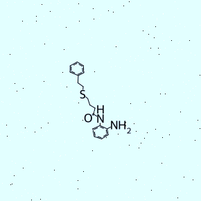 Nc1ccccc1NC(=O)CCCSCCc1ccccc1